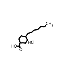 CCCCCCCC1CCC(C(=O)O)CC1.Cl